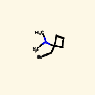 CN(C)C1(CC(C)(C)C)CCC1